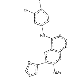 COc1cc2ncnc(Nc3ccc(F)c(Cl)c3)c2cc1-c1ccco1